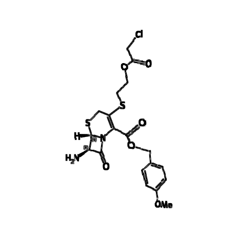 COc1ccc(COC(=O)C2=C(SCCOC(=O)CCl)CS[C@H]3[C@H](N)C(=O)N23)cc1